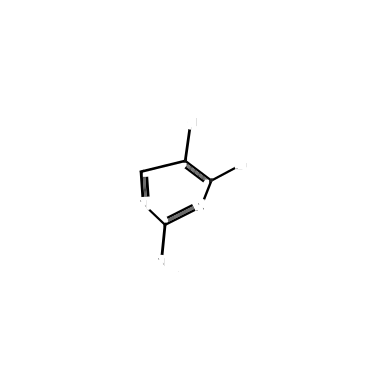 CCc1nc(N)ncc1C(F)(F)F